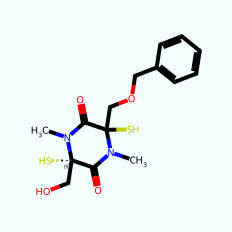 CN1C(=O)[C@@](S)(CO)N(C)C(=O)C1(S)COCc1ccccc1